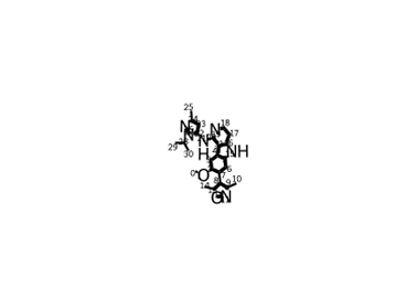 COc1cc2c(cc1-c1c(C)noc1C)[nH]c1ccnc(Nc3cc(C)nn3C(C)C)c12